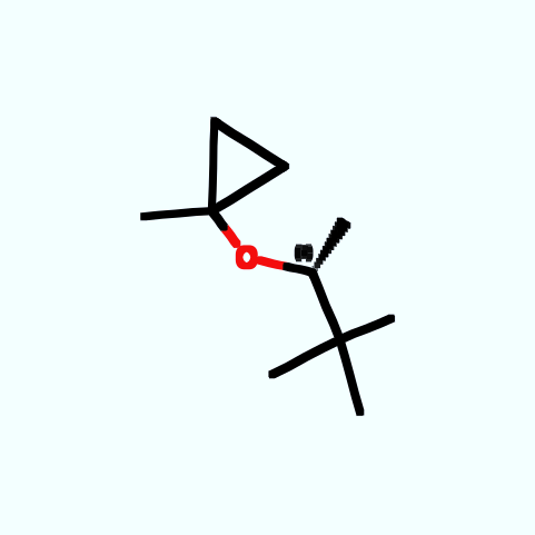 C[C@@H](OC1(C)CC1)C(C)(C)C